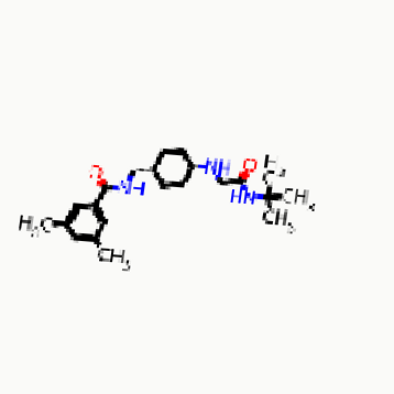 Cc1cc(C)cc(C(=O)NC[C@H]2CC[C@H](NCC(=O)NC(C)(C)C)CC2)c1